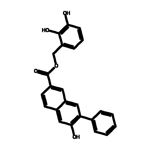 O=C(OCc1cccc(O)c1O)c1ccc2cc(O)c(-c3ccccc3)cc2c1